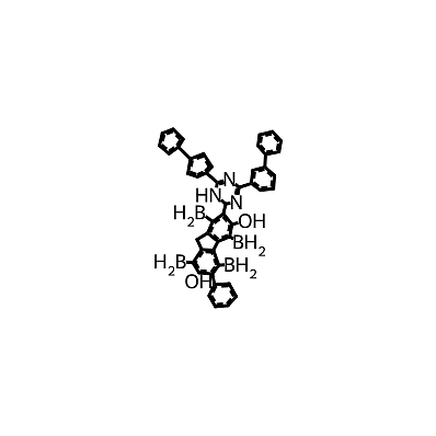 Bc1c(O)c(-c2ccccc2)c(B)c2c1Cc1c(B)c(C3N=C(c4cccc(-c5ccccc5)c4)N=C(c4ccc(-c5ccccc5)cc4)N3)c(O)c(B)c1-2